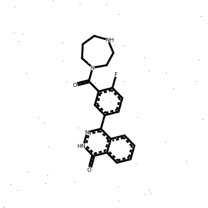 O=C(c1cc(-c2n[nH]c(=O)c3ccccc23)ccc1F)N1CCCNCC1